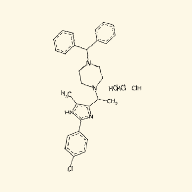 Cc1[nH]c(-c2ccc(Cl)cc2)nc1C(C)N1CCN(C(c2ccccc2)c2ccccc2)CC1.Cl.Cl.Cl